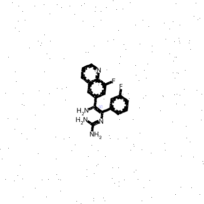 NC(N)=N/C(=C(\N)c1cc(F)c2ncccc2c1)c1cccc(F)c1